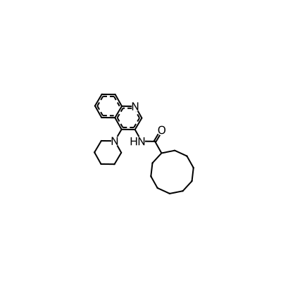 O=C(Nc1cnc2ccccc2c1N1CCCCC1)C1CCCCCCCCC1